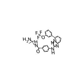 CC(C)(N)CNC(=O)c1ccc(Nc2nc3cccc(-c4cccc(OC(F)(F)F)c4)n3n2)cc1